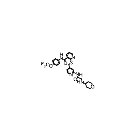 O=C(CNC1CCOCC1)Nc1cc(CSc2ncccc2C(=O)Nc2ccc(OC(F)(F)F)cc2)ccn1